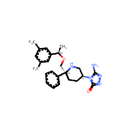 C[C@@H](OC[C@@]1(c2ccccc2)CC[C@H](n2c(N)n[nH]c2=O)CN1)c1cc(C(F)(F)F)cc(C(F)(F)F)c1